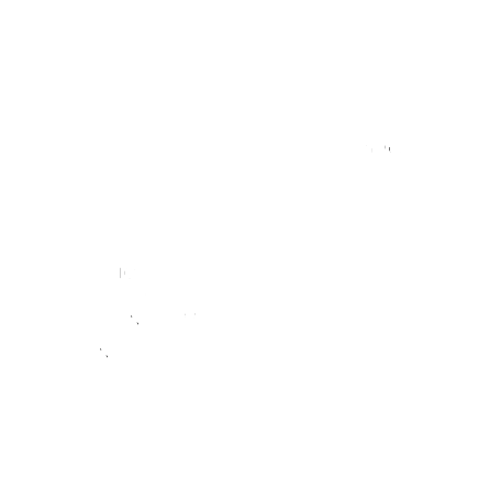 CCCCCCCCC=CCCCCCCCC(=O)C(O)N1C=NCC1